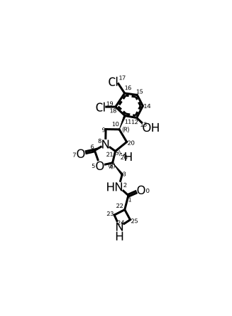 O=C(NC[C@H]1OC(=O)N2C[C@@H](c3c(O)ccc(Cl)c3Cl)C[C@@H]12)C1CNC1